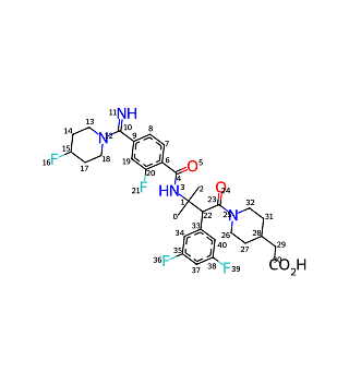 CC(C)(NC(=O)c1ccc(C(=N)N2CCC(F)CC2)cc1F)C(C(=O)N1CCC(CC(=O)O)CC1)c1cc(F)cc(F)c1